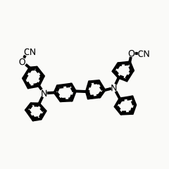 N#COc1ccc(N(c2ccccc2)c2ccc(-c3ccc(N(c4ccccc4)c4ccc(OC#N)cc4)cc3)cc2)cc1